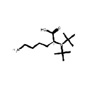 CC(C)(C)N([C@@H](CCCCN)C(=O)O)C(C)(C)C